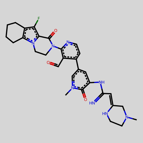 CN1CCN/C(=C\C(=N)Nc2cc(-c3ccnc(N4CCn5c6c(c(F)c5C4=O)CCCC6)c3C=O)cn(C)c2=O)C1